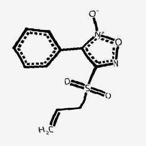 C=CCS(=O)(=O)c1no[n+]([O-])c1-c1ccccc1